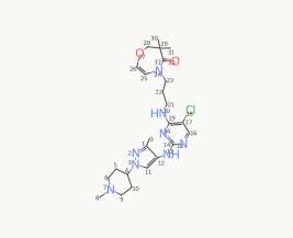 Cc1nn(C2CCN(C)CC2)cc1Nc1ncc(Cl)c(NCCCN2C=COCC(C)(C)C2=O)n1